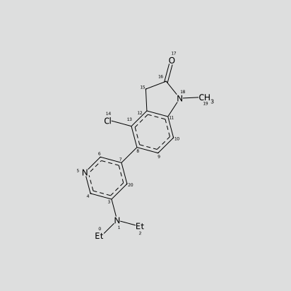 CCN(CC)c1cncc(-c2ccc3c(c2Cl)CC(=O)N3C)c1